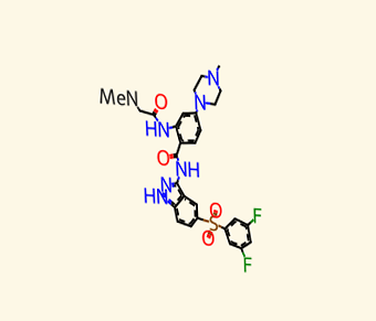 CNCC(=O)Nc1cc(N2CCN(C)CC2)ccc1C(=O)Nc1n[nH]c2ccc(S(=O)(=O)c3cc(F)cc(F)c3)cc12